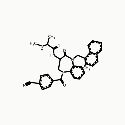 CNC(C)C(=O)NC1CN(C(=O)c2ccc(C#N)cc2)c2ccccc2N(Cc2c(C)ccc3ccccc23)C1=O